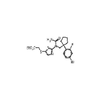 CCOC(=O)CSc1cnc(N(CC2(c3ccc(Br)cc3F)CCCC2)C(N)=O)s1